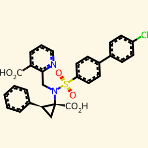 O=C(O)c1cccnc1CN([C@]1(C(=O)O)C[C@H]1c1ccccc1)S(=O)(=O)c1ccc(-c2ccc(Cl)cc2)cc1